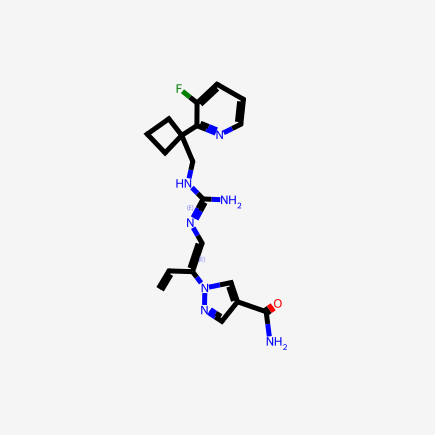 C=C/C(=C\N=C(/N)NCC1(c2ncccc2F)CCC1)n1cc(C(N)=O)cn1